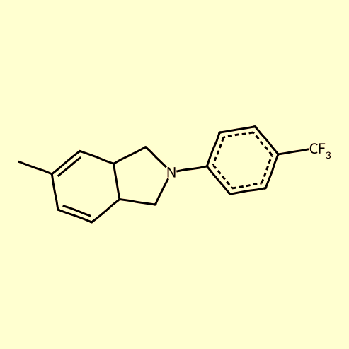 CC1=CC2CN(c3ccc(C(F)(F)F)cc3)CC2C=C1